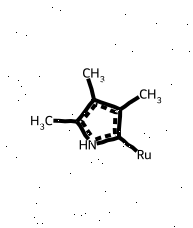 Cc1[nH][c]([Ru])c(C)c1C